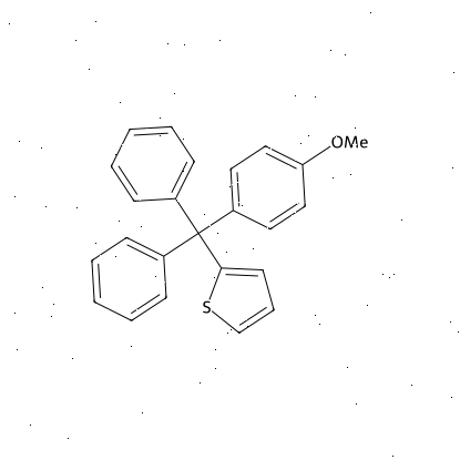 COc1ccc(C(c2ccccc2)(c2ccccc2)c2cccs2)cc1